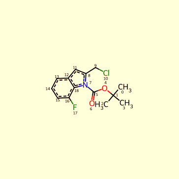 CC(C)(C)OC(=O)n1c(CCl)cc2cccc(F)c21